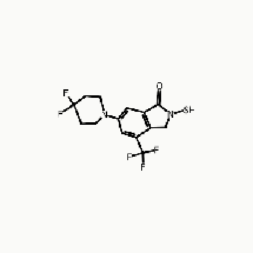 O=C1c2cc(N3CCC(F)(F)CC3)cc(C(F)(F)F)c2CN1S